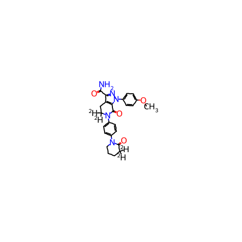 [2H]C1([2H])CCCN(c2ccc(N3C(=O)c4c(c(C(N)=O)nn4-c4ccc(OC)cc4)CC3([2H])[2H])cc2)C1=O